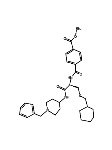 CC(C)(C)OC(=O)c1ccc(C(=O)N[C@@H](CSCC2CCCCC2)C(=O)NC2CCN(Cc3ccccc3)CC2)cc1